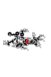 CNC(=O)c1ccccc1Sc1ccc2c(/C=C/c3ccccn3)nn(C(=O)N(CCOC(=O)CC[C@H](N)C(=O)O)CCC(=O)N[C@H](C(=O)N[C@@H](CCN)C(=O)N[C@@H](CCNC(=O)C[C@@H](C)O)C(=O)N[C@@H](CCN)C(=O)N[C@H](Cc3ccccc3)C(=O)N[C@@H](CC(C)C)C(=O)N[C@@H](CCN)C(=O)N[C@@H](CCN)C(N)=O)[C@@H](C)O)c2c1